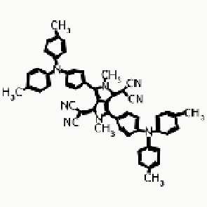 Cc1ccc(N(c2ccc(C)cc2)c2ccc(C3=c4c(c(-c5ccc(N(c6ccc(C)cc6)c6ccc(C)cc6)cc5)n(C)c4=C(C#N)C#N)C(C(C#N)C#N)N3C)cc2)cc1